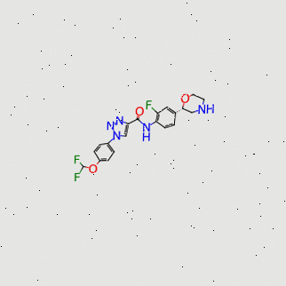 O=C(Nc1ccc([C@H]2CNCCO2)cc1F)c1cn(-c2ccc(OC(F)F)cc2)nn1